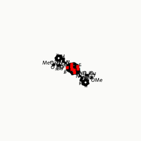 CC[C@H](C)[C@H](NC(=O)OC)C(=O)N1[C@H](c2nc3cc(-c4cc5cc(F)c4CCc4cc(F)c(c(-c6cc7nc([C@@H]8C[C@@H]9CCCC[C@@H]9N8C(=O)[C@@H](NC(=O)OC)[C@@H](C)CC)[nH]c7cc6F)c4)CC5)c(F)cc3[nH]2)C[C@@H]2CCCC[C@@H]21